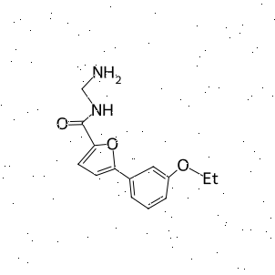 CCOc1cccc(-c2ccc(C(=O)NCN)o2)c1